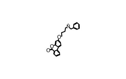 CN(CCCCOc1ccc2c(c1)oc(=O)c1ccccc12)Cc1ccccc1